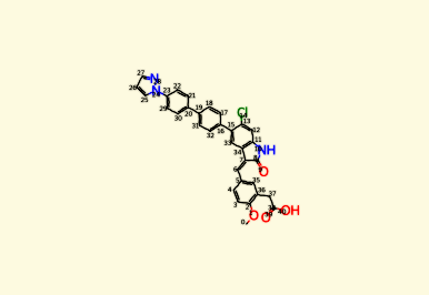 COc1ccc(C=C2C(=O)Nc3cc(Cl)c(-c4ccc(-c5ccc(-n6cccn6)cc5)cc4)cc32)cc1CC(=O)O